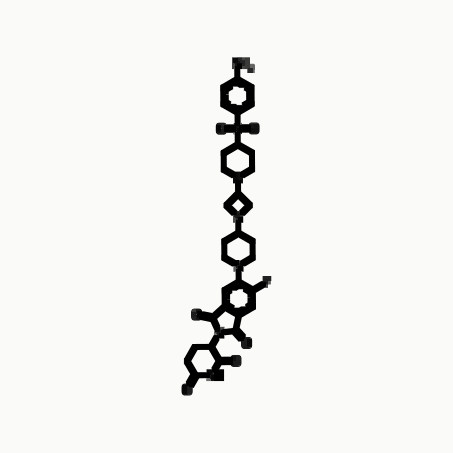 Nc1ccc(S(=O)(=O)C2CCN(C3CN(C4CCN(c5cc6c(cc5F)C(=O)N(C5CCC(=O)NC5=O)C6=O)CC4)C3)CC2)cc1